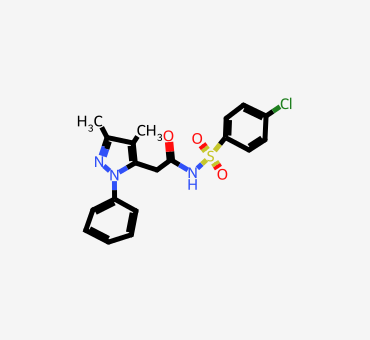 Cc1nn(-c2ccccc2)c(CC(=O)NS(=O)(=O)c2ccc(Cl)cc2)c1C